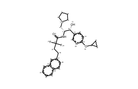 O=C(N[C@H](CN1CCCC1)[C@H](O)c1ccc(OC2CC2)nc1)C(F)(F)CCc1ccc2ccccc2c1